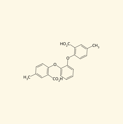 Cc1ccc(Oc2ccccc2Oc2ccc(C)cc2C(=O)O)c(C(=O)O)c1